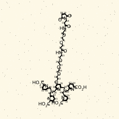 O=C(CCOCCOCCNC(=O)CCN1C(=O)C=CC1=O)NCCOCCOCCOCCOc1cc(CN(Cc2cccc(C(=O)O)n2)Cc2cccc(C(=O)O)n2)nc(CN(Cc2cccc(C(=O)O)n2)Cc2cccc(C(=O)O)n2)c1